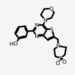 O=S1(=O)CCN(Cc2cc3nc(-c4cccc(O)c4)nc(N4CCOCC4)c3s2)CC1